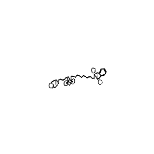 CS(=O)(=O)N(CCCCCCCCN1C(=O)c2ccccc2C1=O)CCCN1CCOCC1